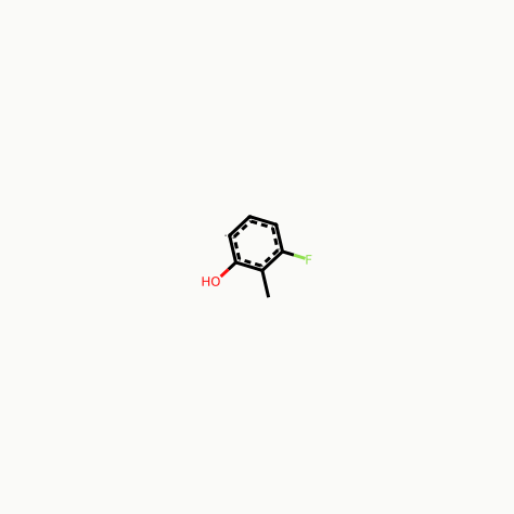 Cc1c(O)[c]ccc1F